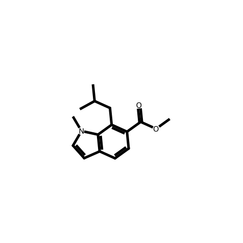 COC(=O)c1ccc2ccn(C)c2c1CC(C)C